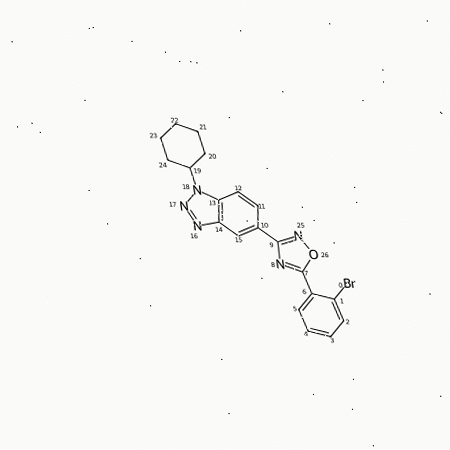 Brc1ccccc1-c1nc(-c2ccc3c(c2)nnn3C2CCCCC2)no1